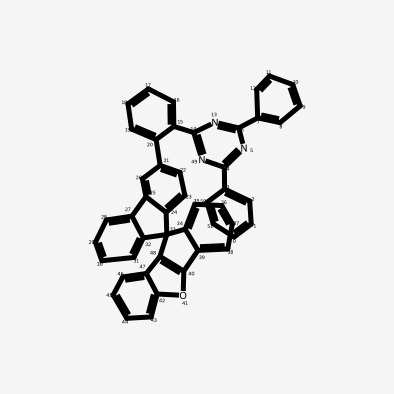 c1ccc(-c2nc(-c3ccccc3)nc(-c3ccccc3-c3ccc4c(c3)-c3ccccc3C43c4ccccc4-c4oc5ccccc5c43)n2)cc1